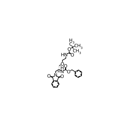 CC(C)(C)OC(=O)NCCOC[C@@H](CN1C(=O)c2ccccc2C1=O)NC(=O)OCc1ccccc1